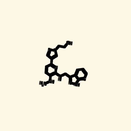 NNc1ccc(-c2cnn(CCO)c2)nc1NCc1n[nH]c2ncccc12